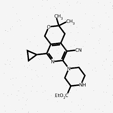 CCOC(=O)C1CN(c2nc(C3CC3)c3c(c2C#N)CC(C)(C)OC3)CCN1